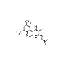 C=C(Nc1ccnc2c(C(F)(F)F)cc(C(F)(F)F)cc12)C(=O)N=CN(C)C